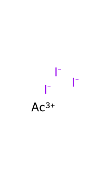 [Ac+3].[I-].[I-].[I-]